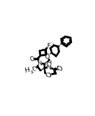 C[C@@H]1C[C@@]2(COCC(=O)N2)[C@H](CO[C@H]2CC[C@@H](c3ccccc3)CC2)N1C(=O)C1CC(F)C1